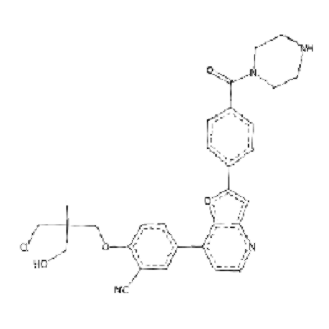 CC(CO)(CCl)COc1ccc(-c2ccnc3cc(-c4ccc(C(=O)N5CCNCC5)cc4)oc23)cc1C#N